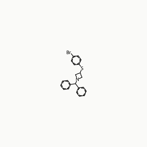 Brc1ccc(SC2CN(C(c3ccccc3)c3ccccc3)C2)cc1